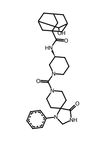 O=C(N1CCC2(CC1)C(=O)NCN2c1ccccc1)N1CCC[C@H](NC(=O)C23CC4CC(C2)C(O)C(C4)C3)C1